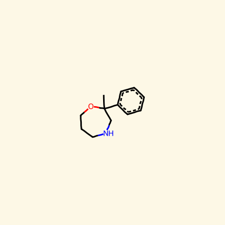 CC1(c2ccccc2)CNCCCO1